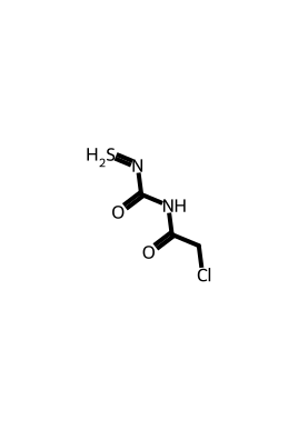 O=C(CCl)NC(=O)N=[SH2]